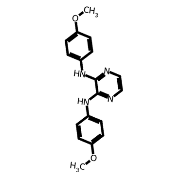 COc1ccc(Nc2nccnc2Nc2ccc(OC)cc2)cc1